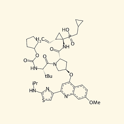 C=C[C@@H]1C[C@]1(NC(=O)[C@@H]1C[C@@H](Oc2cc(-c3csc(NC(C)C)n3)nc3cc(OC)ccc23)CN1C(=O)[C@@H](NC(=O)OC1CCCC1)C(C)(C)C)P(=O)(O)CC1CC1